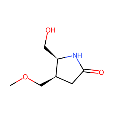 COC[C@@H]1CC(=O)N[C@@H]1CO